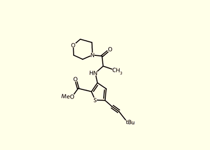 COC(=O)c1sc(C#CC(C)(C)C)cc1NC(C)C(=O)N1CCOCC1